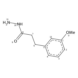 COc1cccc(CCC(=O)NN)c1